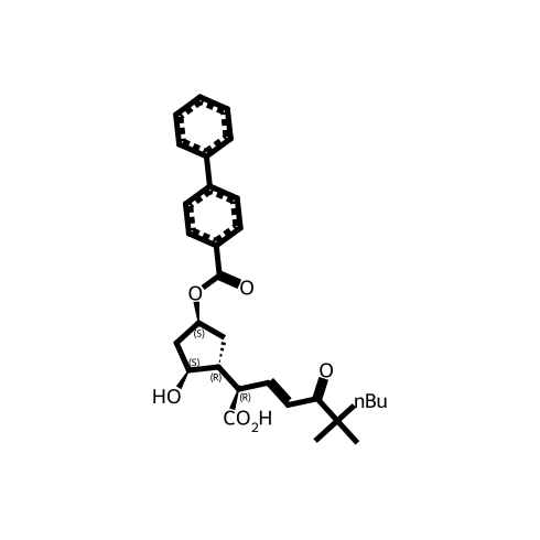 CCCCC(C)(C)C(=O)C=C[C@@H](C(=O)O)[C@H]1C[C@H](OC(=O)c2ccc(-c3ccccc3)cc2)C[C@@H]1O